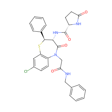 O=C(CN1C(=O)[C@@H](NC(=O)[C@@H]2CCC(=O)N2)[C@H](c2ccccc2)Sc2cc(Cl)ccc21)NCc1ccccc1